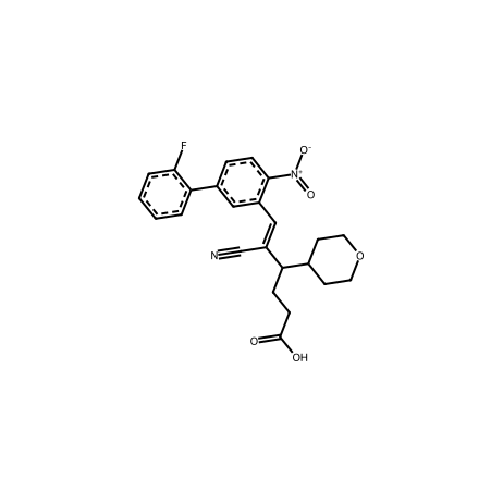 N#CC(=Cc1cc(-c2ccccc2F)ccc1[N+](=O)[O-])C(CCC(=O)O)C1CCOCC1